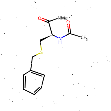 CNC(=O)[C@H](CSCc1ccccc1)NC(=O)C(F)(F)F